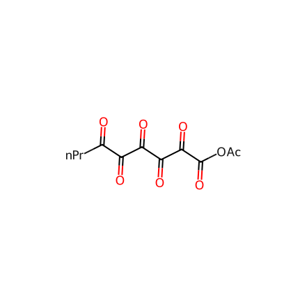 CCCC(=O)C(=O)C(=O)C(=O)C(=O)C(=O)OC(C)=O